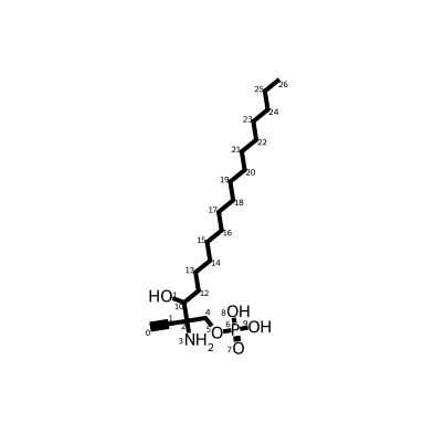 C#CC(N)(COP(=O)(O)O)C(O)CCCCCCCCCCCCCCC